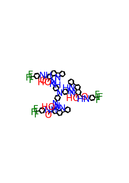 O=C(Nc1ccc(C(F)(F)F)cc1)c1cc2ccc3c4ccccc4[nH]c3c2c(N=Nc2ccc(N(c3ccc(N=Nc4c(O)c(CONc5ccc(C(F)(F)F)cc5)cc5ccc6c7ccccc7[nH]c6c45)cc3)c3ccc(N=Nc4c(O)c(C(=O)Nc5ccc(C(F)(F)F)cc5)cc5ccc6c7ccccc7[nH]c6c45)cc3)cc2)c1O